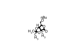 CCCCOC[C@H]1OC(=O)[C@]2(C)OC(C)(C)O[C@H]12